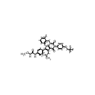 CONC(=O)Nc1ccc(-c2sc3c(c2CN(C)C)c(=O)n(-c2ccc(OCC(F)(F)F)nn2)c(=O)n3Cc2c(F)cccc2F)cc1